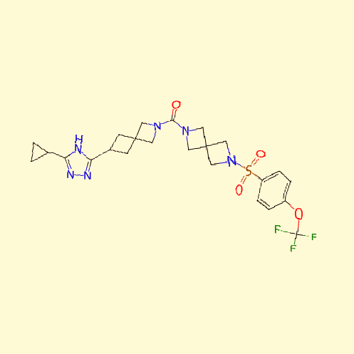 O=C(N1CC2(CC(c3nnc(C4CC4)[nH]3)C2)C1)N1CC2(C1)CN(S(=O)(=O)c1ccc(OC(F)(F)F)cc1)C2